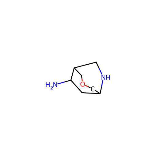 NC1CC2COCC1CN2